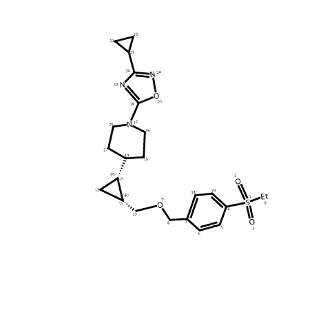 CCS(=O)(=O)c1ccc(COC[C@@H]2C[C@@H]2C2CCN(c3nc(C4CC4)no3)CC2)cc1